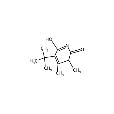 CC1=C(C(C)(C)C)C(O)=NC(=O)C1C